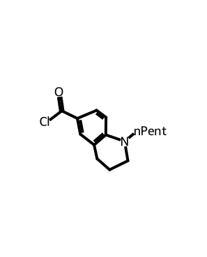 CCCCCN1CCCc2cc(C(=O)Cl)ccc21